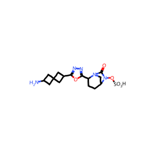 NC1CC2(C1)CC(c1nnc(C3CCC4CN3C(=O)N4OS(=O)(=O)O)o1)C2